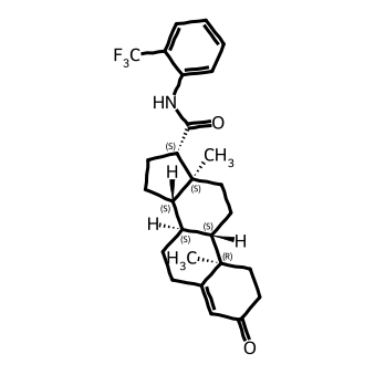 C[C@]12CC[C@H]3[C@@H](CCC4=CC(=O)CC[C@@]43C)[C@@H]1CC[C@@H]2C(=O)Nc1ccccc1C(F)(F)F